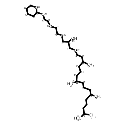 CC(C)CCCC(C)CCCC(C)CCCC(C)CCOCC(O)CSCCOCCOC1CCCCO1